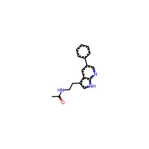 CC(=O)NCCc1c[nH]c2ncc(-c3ccccc3)cc12